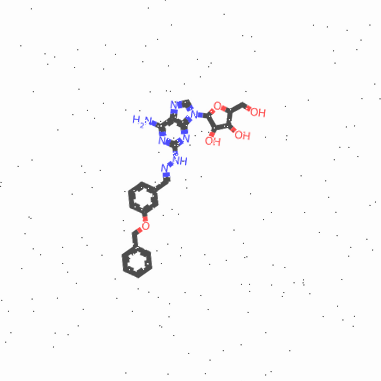 Nc1nc(N/N=C/c2cccc(OCc3ccccc3)c2)nc2c1ncn2C1OC(CO)C(O)C1O